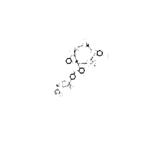 COC[C@@H]1NC(=O)[C@H](C)N(Cc2ccc(Cl)cc2Oc2ccc(-c3nnc4n3CCN(C(=O)[C@H]3CCNC3)C4)cc2)C(=O)C[C@@H](Cc2ccccc2)C(=O)N(C)[C@@H](C)CNC(=O)C[C@H](Cc2ccc(Cl)cc2)N(C)C1=O